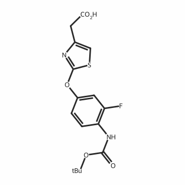 CC(C)(C)OC(=O)Nc1ccc(Oc2nc(CC(=O)O)cs2)cc1F